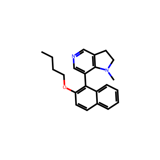 CCCCOc1ccc2ccccc2c1-c1cncc2c1N(C)CC2